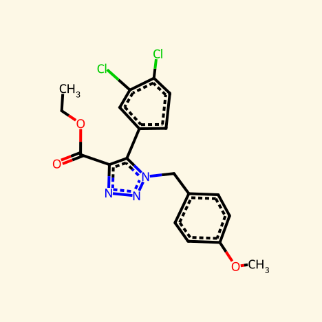 CCOC(=O)c1nnn(Cc2ccc(OC)cc2)c1-c1ccc(Cl)c(Cl)c1